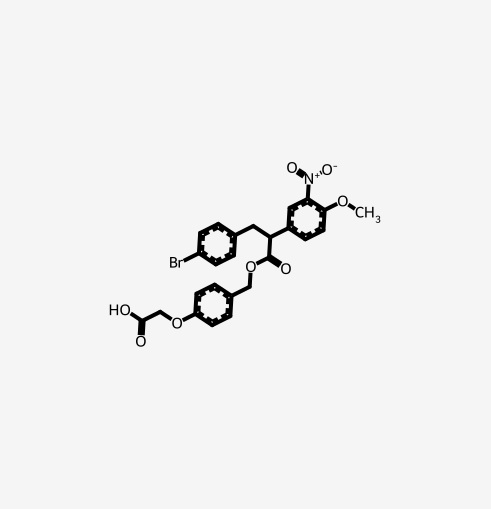 COc1ccc(C(Cc2ccc(Br)cc2)C(=O)OCc2ccc(OCC(=O)O)cc2)cc1[N+](=O)[O-]